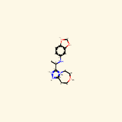 CC(Nc1ccc2c(c1)OCO2)c1nnc2n1CCOCC2